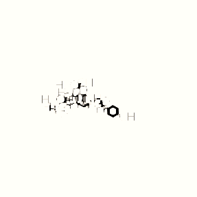 Cc1ccc(S(=O)(=O)OC[C@H](CCO[Si](C)(C)C(C)(C)C)NC(=O)OC(C)(C)C)cc1